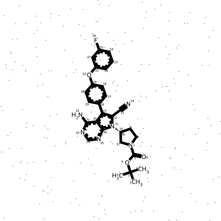 CC(C)(C)OC(=O)N1CC[C@@H](n2c(C#N)c(-c3ccc(Oc4cccc(F)c4)cc3)c3c(N)ncnc32)C1